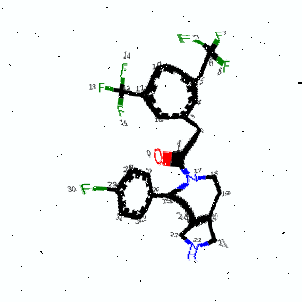 O=C(Cc1cc(C(F)(F)F)cc(C(F)(F)F)c1)N1CCC2CNCC2C1c1ccc(F)cc1